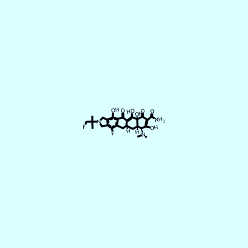 CN(C)[C@@H]1C(O)=C(C(N)=O)C(=O)[C@@]2(O)C(O)=C3C(=O)c4c(O)c5c(c(F)c4C[C@H]3C[C@@H]12)CN(C(C)(C)CF)C5